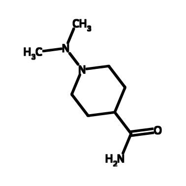 CN(C)N1CCC(C(N)=O)CC1